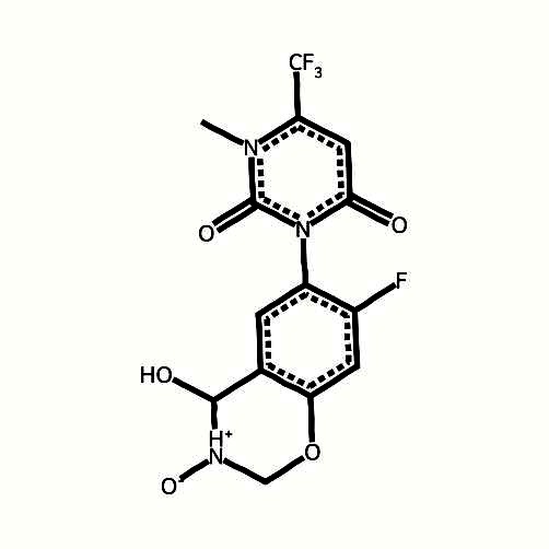 Cn1c(C(F)(F)F)cc(=O)n(-c2cc3c(cc2F)OC[NH+]([O-])C3O)c1=O